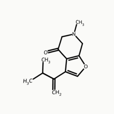 C=C(c1coc2c1C(=O)CN(C)C2)C(C)C